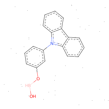 OBOc1cccc(-n2c3ccccc3c3ccccc32)c1